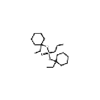 CCCP(=O)(OC1(CC)CCCCC1)OC1(CC)CCCCC1